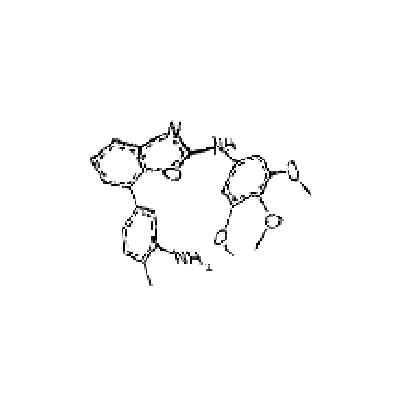 COc1cc(Nc2nc3cccc(-c4ccc(C)c(N)c4)c3o2)cc(OC)c1OC